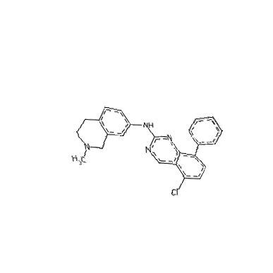 CN1CCc2ccc(Nc3ncc4c(Cl)ccc(-c5ccccc5)c4n3)cc2C1